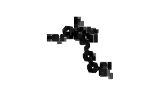 CC(NC(=O)C(NC(=O)CCc1ccc(-c2cccc([C@@H](C)O)c2)nc1)C(C)C)C(=O)N1CCCC(C(=O)O)N1